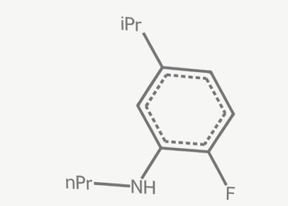 CCCNc1cc(C(C)C)ccc1F